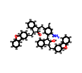 Cc1cc(N)c(C2C(=O)C(Cc3ccc4oc5ccccc5c4c3)c3ccccc32)cc1CC1C(=O)C(Cc2ccc3oc4ccccc4c3c2)c2ccccc21